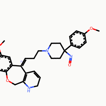 COc1ccc(C2(N=O)CCN(CC/C=C3\C4=C(COc5ccc(OC)cc53)NCC=C4)CC2)cc1